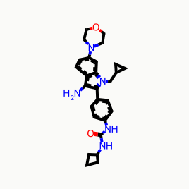 Nc1c(-c2ccc(NC(=O)NC3CCC3)cc2)n(CC2CC2)c2cc(N3CCOCC3)ccc12